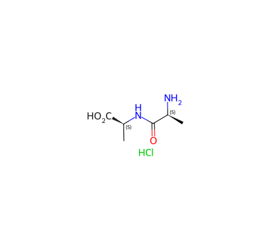 C[C@H](N)C(=O)N[C@@H](C)C(=O)O.Cl